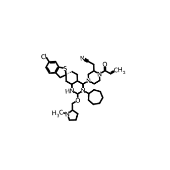 C=CC(=O)N1CCN(C2C3CC[C@@]4(Cc5ccc(Cl)cc5S4)CC3NC(OCC3CCCN3C)N2C2CCCCCC2)CC1CC#N